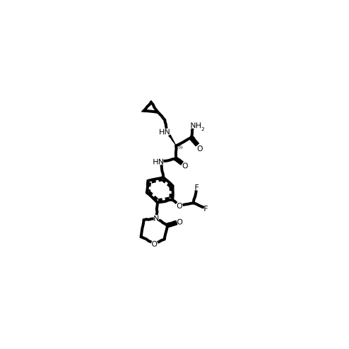 NC(=O)[C@H](NCC1CC1)C(=O)Nc1ccc(N2CCOCC2=O)c(OC(F)F)c1